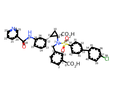 O=C(O)c1cccc(CN([C@]2(C(=O)O)C[C@H]2c2cccc(NC(=O)c3cccnc3)c2)S(=O)(=O)c2ccc(-c3ccc(Cl)cc3)cc2)c1